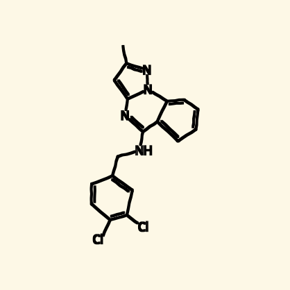 Cc1cc2nc(NCc3ccc(Cl)c(Cl)c3)c3ccccc3n2n1